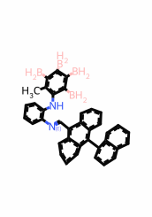 Bc1c(B)c(B)c(Nc2ccccc2/N=C/c2c3ccccc3c(-c3cccc4ccccc34)c3ccccc23)c(C)c1B